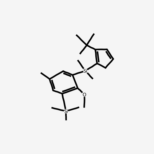 COc1c([Si](C)(C)C)cc(C)cc1[Si](C)(C)C1=C(C(C)(C)C)C=CC1